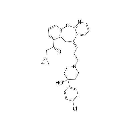 O=C(CC1CC1)c1cccc2c1CC(=CCCN1CCC(O)(c3ccc(Cl)cc3)CC1)c1cccnc1O2